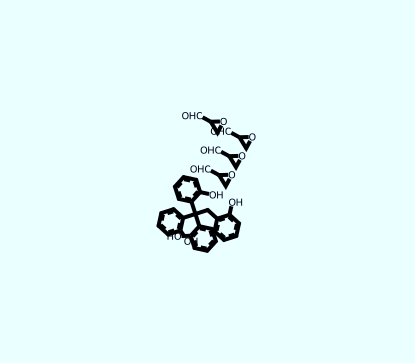 O=CC1CO1.O=CC1CO1.O=CC1CO1.O=CC1CO1.Oc1ccccc1CC(c1ccccc1O)(c1ccccc1O)c1ccccc1O